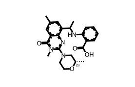 Cc1cc(C(C)Nc2ccccc2C(=O)O)c2nc(N3CCO[C@@H](C)C3)n(C)c(=O)c2c1